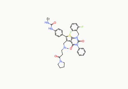 CCNC(=O)Nc1ccc(-c2sc3c(c2CN(C)CCC(=O)N2CCCC2)c(=O)n(-c2ccccc2)c(=O)n3Cc2c(F)cccc2F)cc1